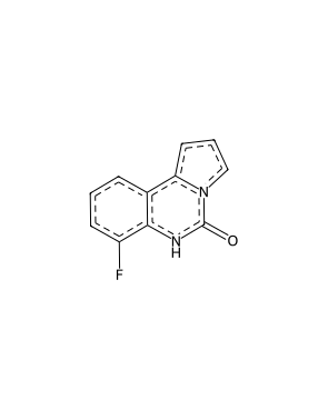 O=c1[nH]c2c(F)cccc2c2cccn12